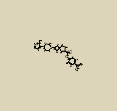 Cn1nccc1C1CCN(C2CC3(CCN(C(=O)Oc4ccc([N+](=O)[O-])cc4)C3)C2)CC1